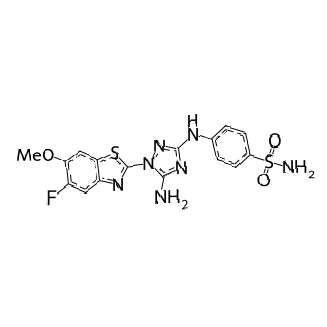 COc1cc2sc(-n3nc(Nc4ccc(S(N)(=O)=O)cc4)nc3N)nc2cc1F